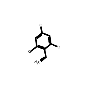 C=Cc1c(Cl)cc(Cl)cc1Cl